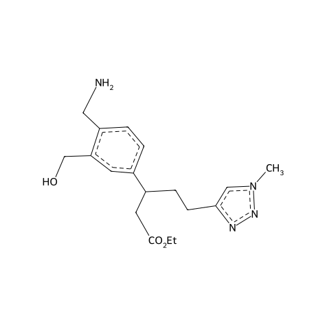 CCOC(=O)CC(CCc1cn(C)nn1)c1ccc(CN)c(CO)c1